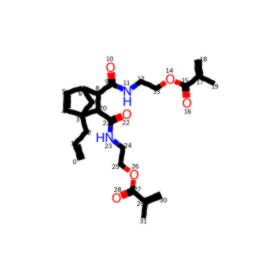 C=CCC12C=CC(C1)C(C(=O)NCCOC(=O)C(=C)C)C2C(=O)NCCOC(=O)C(=C)C